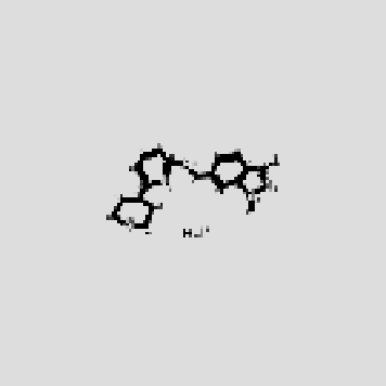 Cl.Cn1nc(Cl)c2ccc(COc3cccc(C4CCNCC4)n3)cc21